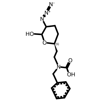 [N-]=[N+]=NC1CC[C@@H](CCN(Cc2ccccc2)C(=O)O)OC1O